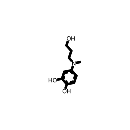 CN(CCCO)c1ccc(O)c(O)c1